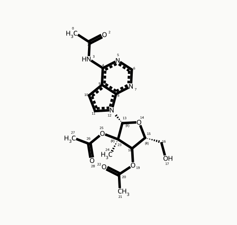 CC(=O)Nc1ncnc2c1ccn2[C@@H]1O[C@H](CO)C(OC(C)=O)[C@@]1(C)OC(C)=O